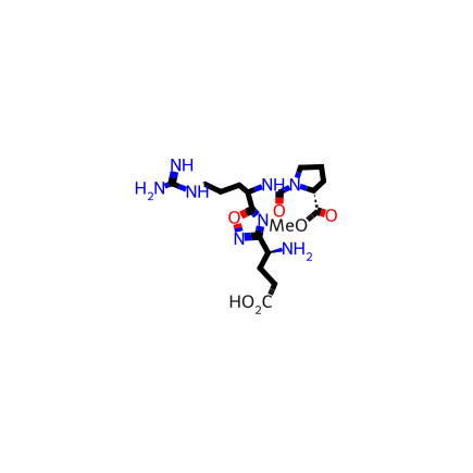 COC(=O)[C@H]1CCCN1C(=O)NC(CCCNC(=N)N)c1nc([C@@H](N)CCC(=O)O)no1